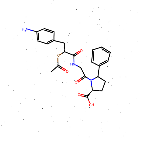 CC(=O)SC(Cc1ccc(N)cc1)C(=O)NCC(=O)N1C(c2ccccc2)CC[C@H]1C(=O)O